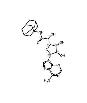 Nc1ncnc2c1ncn2[C@@H]1O[C@H](C(O)C(=O)NC23CC4CC(CC(C4)C2)C3)[C@@H](O)[C@H]1O